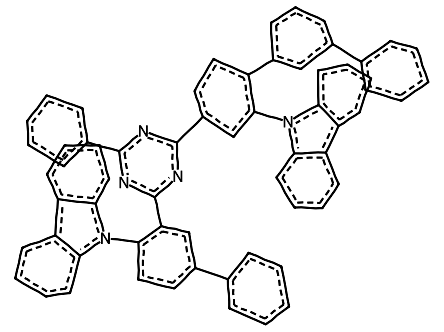 c1ccc(-c2cccc(-c3ccc(-c4nc(-c5ccccc5)nc(-c5cc(-c6ccccc6)ccc5-n5c6ccccc6c6ccccc65)n4)cc3-n3c4ccccc4c4ccccc43)c2)cc1